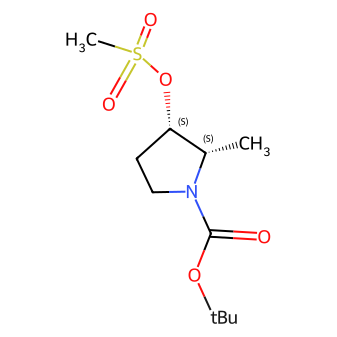 C[C@H]1[C@@H](OS(C)(=O)=O)CCN1C(=O)OC(C)(C)C